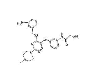 CN1CCN(c2ncc(Sc3cccc(NC(=O)CN)c3)c(OCc3cccc(N)c3)n2)CC1